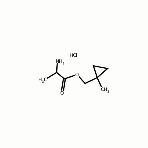 CC(N)C(=O)OCC1(C)CC1.Cl